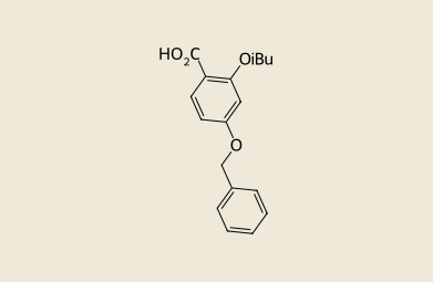 CC(C)COc1cc(OCc2ccccc2)ccc1C(=O)O